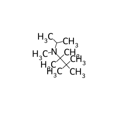 CC(C)N(C)C(C)(C)C(C)(C)C